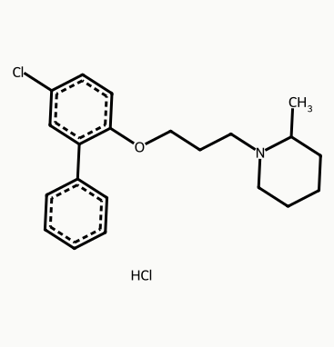 CC1CCCCN1CCCOc1ccc(Cl)cc1-c1ccccc1.Cl